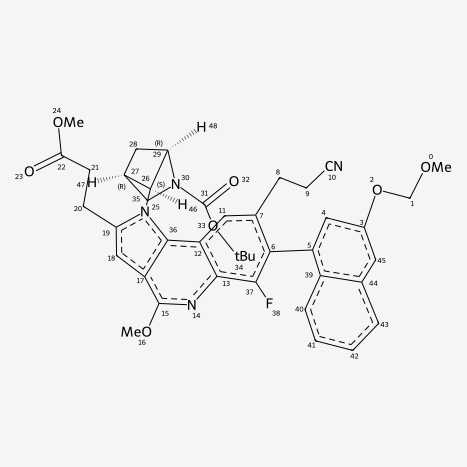 COCOc1cc(-c2c(CCC#N)cc3c(nc(OC)c4cc(CCC(=O)OC)n([C@H]5[C@@H]6C[C@H]5N(C(=O)OC(C)(C)C)C6)c43)c2F)c2ccccc2c1